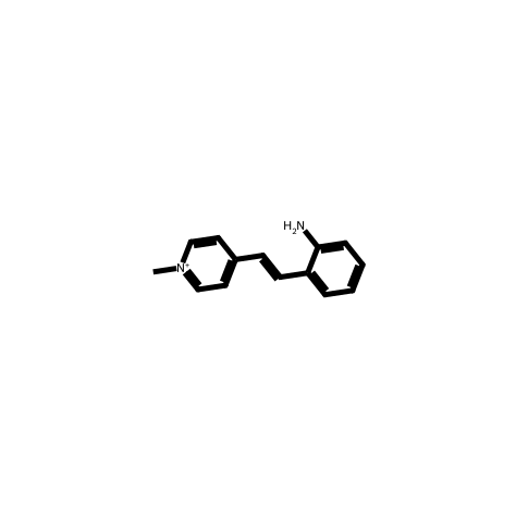 C[n+]1ccc(/C=C/c2ccccc2N)cc1